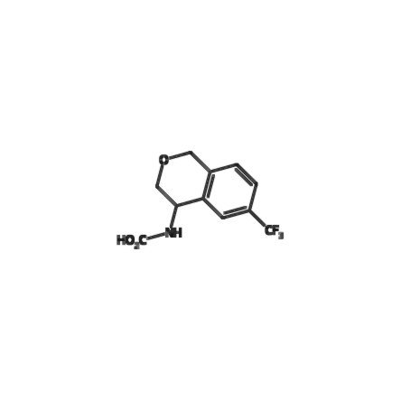 O=C(O)NC1COCc2ccc(C(F)(F)F)cc21